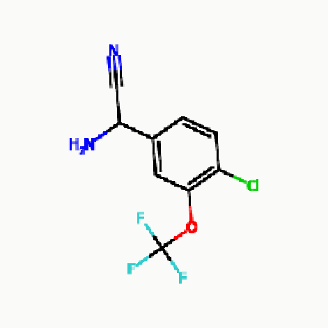 N#CC(N)c1ccc(Cl)c(OC(F)(F)F)c1